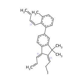 C=C/C=C\c1c(C)cccc1-c1ccc2c(c1)C(C)(C)C(=C/CI)/C2=C\C=C